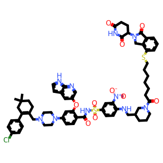 CC1(C)CCC(CN2CCN(c3ccc(C(=O)NS(=O)(=O)c4ccc(NCC5CCCN(C(=O)CCCCCCSc6cccc7c6CN(C6CCC(=O)NC6=O)C7=O)C5)c([N+](=O)[O-])c4)c(Oc4cnc5[nH]ccc5c4)c3)CC2)=C(c2ccc(Cl)cc2)C1